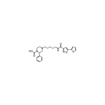 O=C(NCCCCCN1CCN(C(=O)O)C(c2ccccc2)C1)c1cc(-c2cccs2)on1